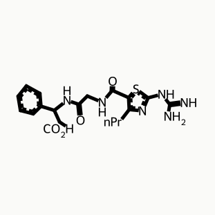 CCCc1nc(NC(=N)N)sc1C(=O)NCC(=O)NC(CC(=O)O)c1ccccc1